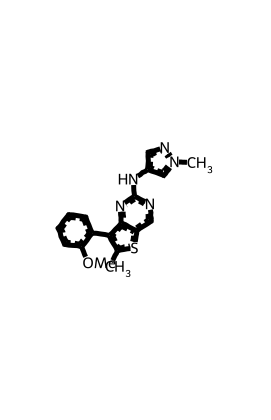 COc1ccccc1-c1c(C)sc2cnc(Nc3cnn(C)c3)nc12